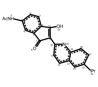 CC(=O)Nc1ccc2c(c1)C(=O)C(c1ccc3cc(C(C)C)ccc3n1)=C2O